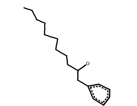 CCCCCCCCCC([O])Cc1ccccc1